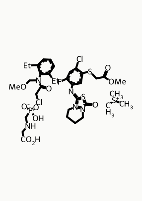 CCc1cccc(CC)c1N(COC)C(=O)CCl.COC(=O)CSc1cc(/N=c2\sc(=O)n3n2CCCC3)c(F)cc1Cl.C[S+](C)C.O=C(O)CNCP(=O)([O-])O